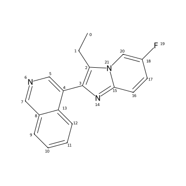 CCc1c(-c2cncc3ccccc23)nc2ccc(F)cn12